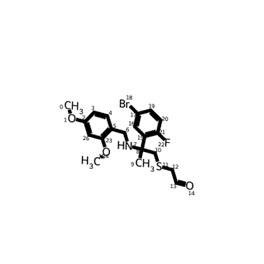 COc1ccc(CNC(C)(CSCC=O)c2cc(Br)ccc2F)c(OC)c1